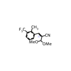 COC(OC)/C(C#N)=C\c1cccc(C(F)(F)F)c1C